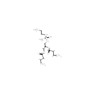 CCCOP(C)(=O)OCC(COC(=O)CCC)OC(=O)CCC